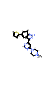 CC(C)N1CCN(c2cc(-c3n[nH]c4ccc(-c5cccs5)cc34)ncn2)CC1